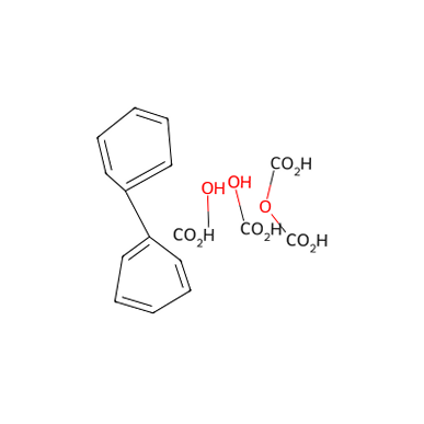 O=C(O)O.O=C(O)O.O=C(O)OC(=O)O.c1ccc(-c2ccccc2)cc1